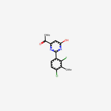 COC(=O)c1cc(O)nc(-c2ccc(Cl)c(OC)c2F)n1